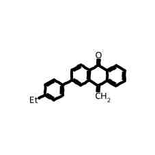 C=C1c2ccccc2C(=O)c2ccc(-c3ccc(CC)cc3)cc21